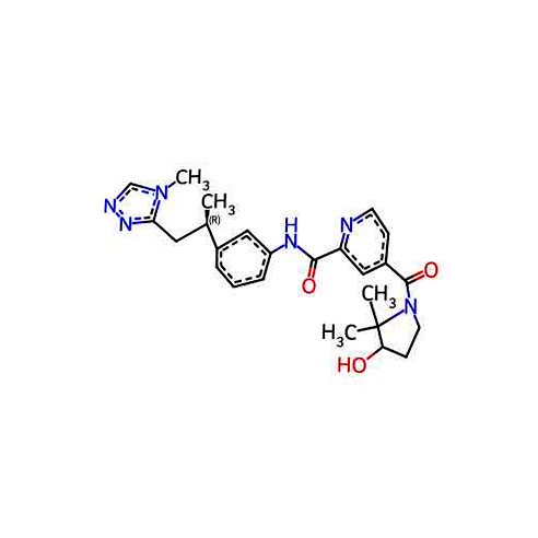 C[C@H](Cc1nncn1C)c1cccc(NC(=O)c2cc(C(=O)N3CCC(O)C3(C)C)ccn2)c1